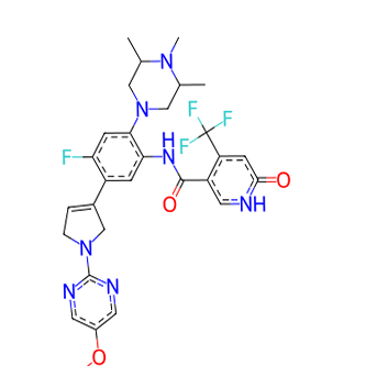 COc1cnc(N2CC=C(c3cc(NC(=O)c4c[nH]c(=O)cc4C(F)(F)F)c(N4CC(C)N(C)C(C)C4)cc3F)C2)nc1